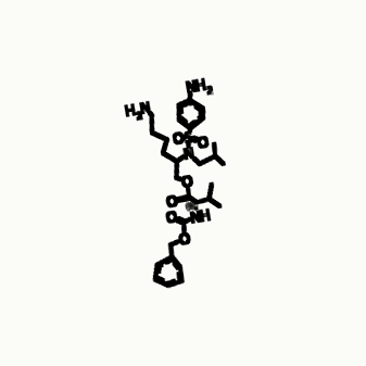 CC(C)CN(C(CCCCN)COC(=O)[C@@H](NC(=O)OCc1ccccc1)C(C)C)S(=O)(=O)c1ccc(N)cc1